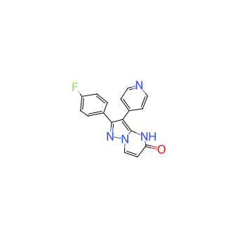 O=c1ccn2nc(-c3ccc(F)cc3)c(-c3ccncc3)c2[nH]1